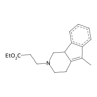 CCOC(=O)CCN1CCC2=C(C)c3ccccc3C2C1